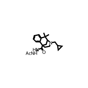 CC(=O)NNC(=O)C12CCN(CC3CC3)C(C1)C(C)(C)c1ccccc12